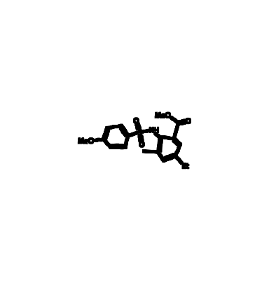 CCc1cc(C)c(NS(=O)(=O)c2ccc(OC)cc2)c(C(=O)OC)c1